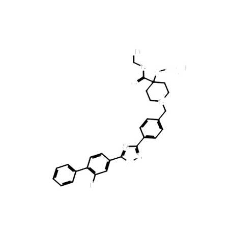 CC(C)CNC(=O)C1(OC(=O)O)CCN(Cc2ccc(-c3noc(-c4ccc(-c5ccccc5)c(F)c4)n3)cc2)CC1